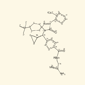 CC(C)(C)C1CCC2(CC1)N=C(c1ccccc1Cl)C(=O)N2C(c1ccc(C(=O)NCC(=N)N)cc1)C1CC1